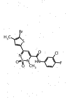 Cc1cc(C2=NS(=O)(=O)N(C)C(C(=O)Nc3ccc(F)c(Cl)c3)=C2)sc1Br